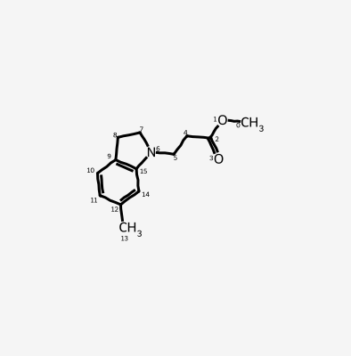 COC(=O)CCN1CCc2ccc(C)cc21